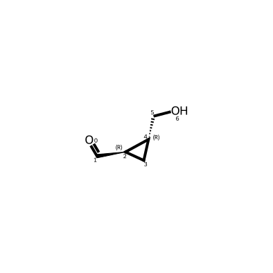 O=C[C@@H]1C[C@H]1CO